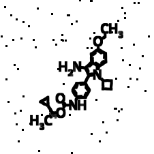 CCOc1ccc2c(c1)c(N)c(-c1ccc(NC(=O)O[C@H](C)C3CC3)cc1)n2C1CCC1